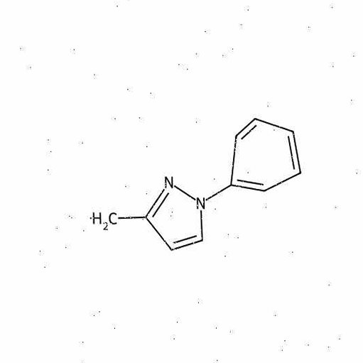 [CH2]c1ccn(-c2ccccc2)n1